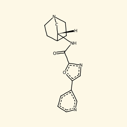 O=C(N[C@H]1CN2CCC1CC2)c1ncc(-c2cccnc2)o1